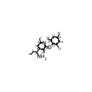 CCC(N)c1cc(C)nc(Oc2c(C)cc(C)cc2C)c1C